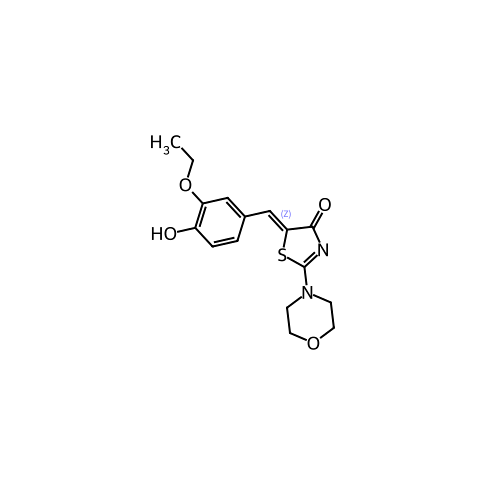 CCOc1cc(/C=C2\SC(N3CCOCC3)=NC2=O)ccc1O